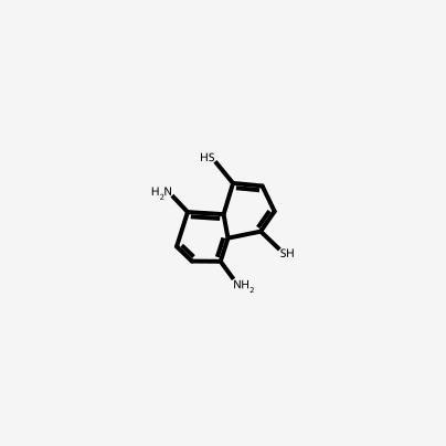 Nc1ccc(N)c2c(S)ccc(S)c12